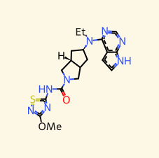 CCN(c1ncnc2[nH]ccc12)[C@H]1CC2CN(C(=O)Nc3nc(OC)ns3)C[C@@H]2C1